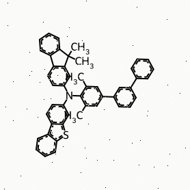 Cc1cc(-c2cccc(-c3ccccc3)c2)cc(C)c1N(c1ccc2c(c1)C(C)(C)c1ccccc1-2)c1ccc2c(c1)sc1ccccc12